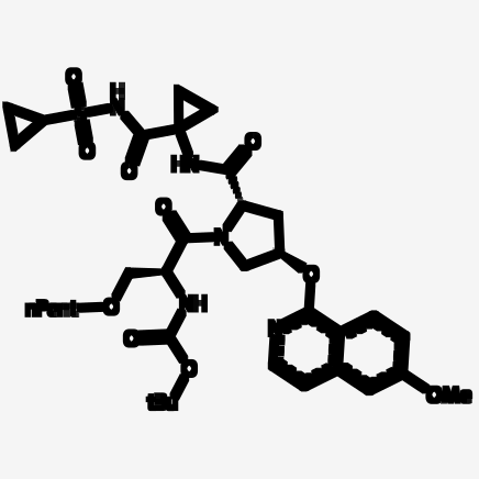 CCCCCOC[C@H](NC(=O)OC(C)(C)C)C(=O)N1C[C@H](Oc2nccc3cc(OC)ccc23)C[C@H]1C(=O)NC1(C(=O)NS(=O)(=O)C2CC2)CC1